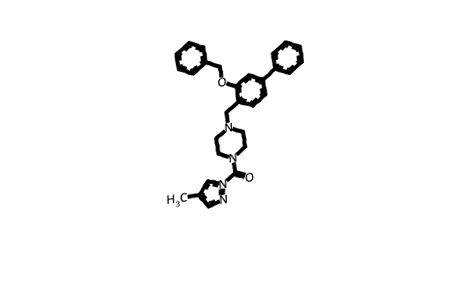 Cc1cnn(C(=O)N2CCN(Cc3ccc(-c4ccccc4)cc3OCc3ccccc3)CC2)c1